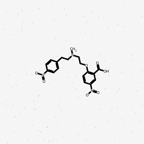 CN(CCOc1ccc([N+](=O)[O-])cc1C(=O)O)CCc1ccc([N+](=O)[O-])cc1